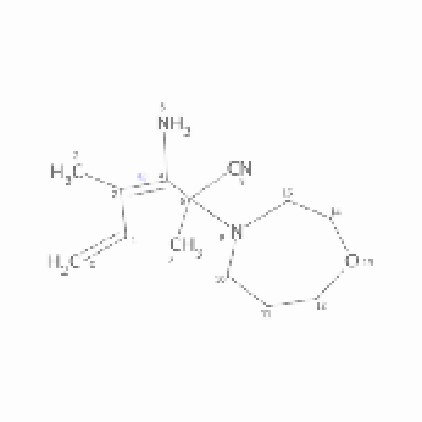 C=C/C(C)=C(/N)C(C)(C#N)N1CCCOCC1